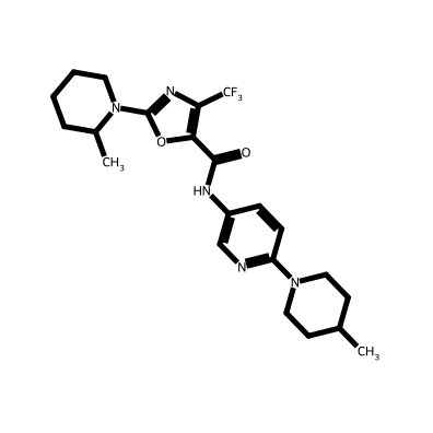 CC1CCN(c2ccc(NC(=O)c3oc(N4CCCCC4C)nc3C(F)(F)F)cn2)CC1